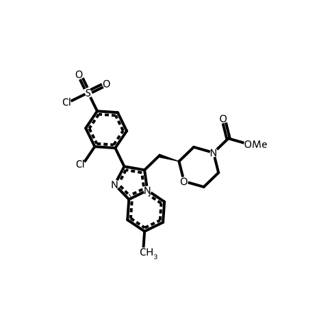 COC(=O)N1CCO[C@@H](Cc2c(-c3ccc(S(=O)(=O)Cl)cc3Cl)nc3cc(C)ccn23)C1